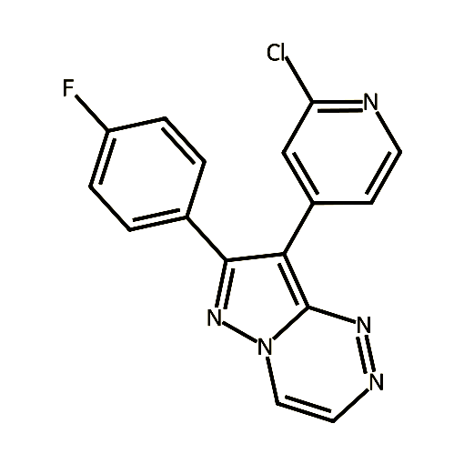 Fc1ccc(-c2nn3ccnnc3c2-c2ccnc(Cl)c2)cc1